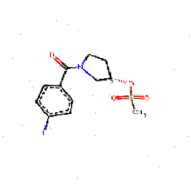 CS(=O)(=O)O[C@H]1CCN(C(=O)c2ccc(I)cc2)C1